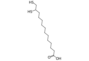 O=C(O)CCCCCCCCCCCC(S)CS